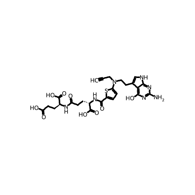 C#CCN(CCc1c[nH]c2nc(N)nc(O)c12)c1ccc(C(=O)N[C@@H](CCC(=O)N[C@@H](CCC(=O)O)C(=O)O)C(=O)O)s1